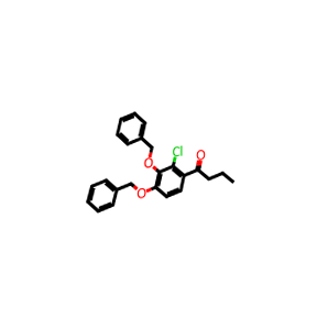 CCCC(=O)c1ccc(OCc2ccccc2)c(OCc2ccccc2)c1Cl